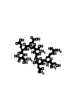 C[C@@H](O)[C@H](NC(=O)[C@H](CCC(=O)O)NC(=O)[C@H](CCC(=O)O)NC(=O)[C@@H](NC(=O)CNC(=O)[C@H](CC(N)=O)NC(=O)[C@H](CCCNC(=N)N)NC(=O)[C@@H](N)CO)[C@@H](C)O)C(=O)O